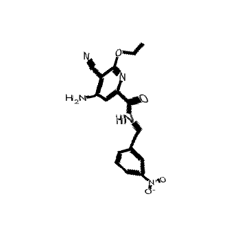 CCOc1nc(C(=O)NCc2cccc([N+](=O)[O-])c2)cc(N)c1C#N